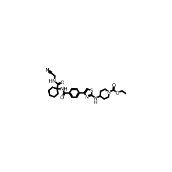 CCOC(=O)N1CCC(Nc2nc(-c3ccc(C(=O)NC4(C(=O)NCC#N)CCCCC4)cc3)cs2)CC1